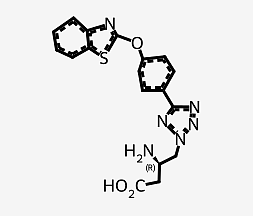 N[C@H](CC(=O)O)Cn1nnc(-c2ccc(Oc3nc4ccccc4s3)cc2)n1